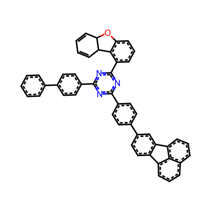 C1=CC2Oc3cccc(-c4nc(-c5ccc(-c6ccccc6)cc5)nc(-c5ccc(-c6ccc7c(c6)-c6cccc8cccc-7c68)cc5)n4)c3C2C=C1